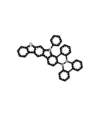 c1ccc(-n2c3cc4oc5ccccc5c4cc3c3ccc4c(c32)-c2ccccc2N2B4c3ccccc3-c3ccccc32)cc1